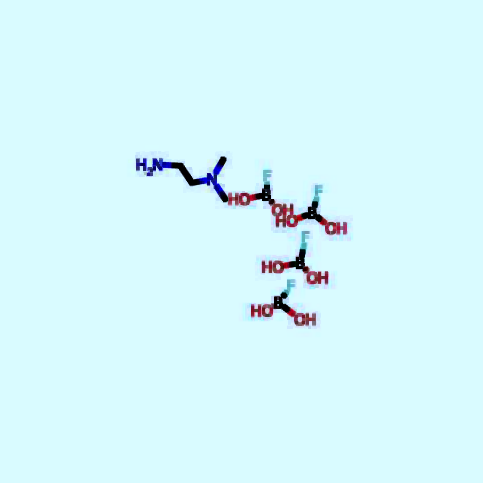 CN(C)CCN.OB(O)F.OB(O)F.OB(O)F.OB(O)F